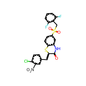 O=C1Nc2cc(S(=O)(=O)Cc3c(F)cccc3F)ccc2SC1=Cc1ccc(Cl)c([N+](=O)[O-])c1